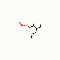 CCCC(CC)C(C)CO[C]=O